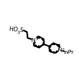 CCC[n+]1ccc(-c2cc[n+](CCS(=O)(=O)O)cc2)cc1